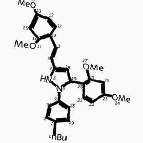 CCCCc1ccc(N2NC(C=Cc3ccc(OC)cc3OC)=CC2c2ccc(OC)cc2OC)cc1